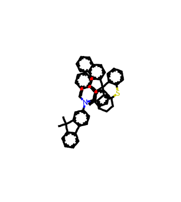 C=CC1=C(/C=C\N(c2ccc3c(c2)C(C)(C)c2ccccc2-3)c2ccccc2-c2ccccc2)c2c(ccc3ccccc23)C12C1=C(CCC=C1)Sc1ccccc12